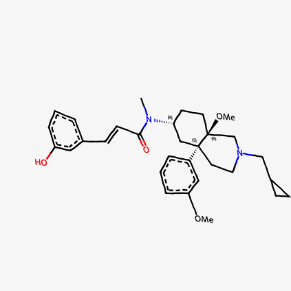 COc1cccc([C@@]23CCN(CC4CC4)C[C@@]2(OC)CC[C@@H](N(C)C(=O)C=Cc2cccc(O)c2)C3)c1